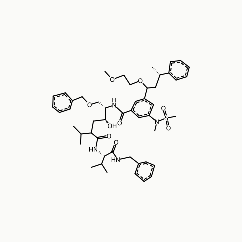 COCCOC(C[C@H](C)c1ccccc1)c1cc(C(=O)N[C@@H](COCc2ccccc2)[C@@H](O)CC(C(=O)N[C@H](C(=O)NCc2ccccc2)C(C)C)C(C)C)cc(N(C)S(C)(=O)=O)c1